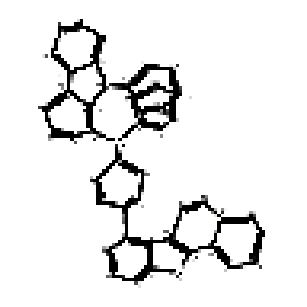 c1ccc(N(c2ccc(-c3cccc4sc5c6ccccc6ccc5c34)cc2)c2cccc3c4ccccc4n(-c4ccccc4)c23)cc1